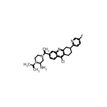 C=C(c1ccc2c(Cl)c3c(nc2c1)CC(c1ccc(F)cn1)CC3)N1CCN(C(=C)C)C(N)C1